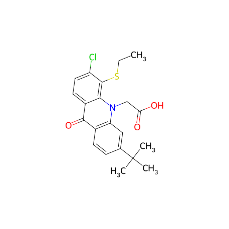 CCSc1c(Cl)ccc2c(=O)c3ccc(C(C)(C)C)cc3n(CC(=O)O)c12